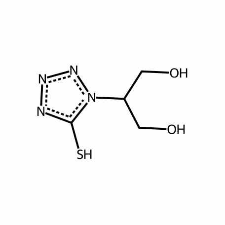 OCC(CO)n1nnnc1S